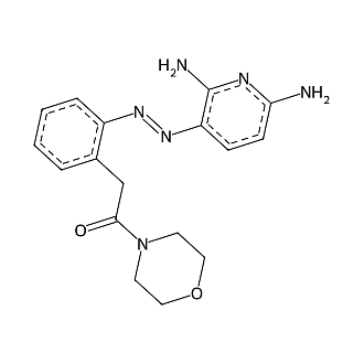 Nc1ccc(/N=N/c2ccccc2CC(=O)N2CCOCC2)c(N)n1